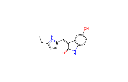 CCc1ccc(C=C2C(=O)Nc3ccc(O)cc32)[nH]1